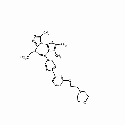 Cc1sc2c(c1C)C(c1ccc(-c3cccc(OCCN4CCOCC4)c3)cc1)=N[C@@H](CC(=O)O)c1nnc(C)n1-2